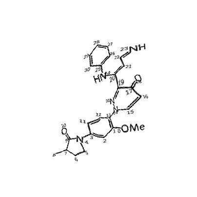 COc1cc(N2CCC(C)C2=O)ccc1-n1ccc(=O)c(/C(=C/C=N)Nc2ccccc2)n1